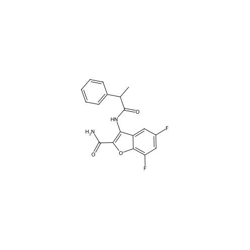 CC(C(=O)Nc1c(C(N)=O)oc2c(F)cc(F)cc12)c1ccccc1